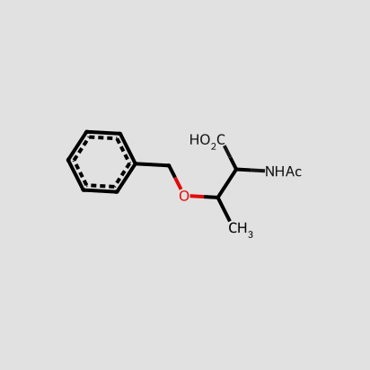 CC(=O)NC(C(=O)O)C(C)OCc1ccccc1